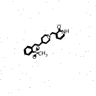 CS(=O)(=O)c1ccccc1CCC1CCN(Cc2ccc[nH]c2=O)CC1